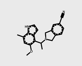 COc1cc(C)c2[nH]ccc2c1C(C)N1Cc2ccc(C#N)cc2C1